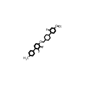 CCOc1ccc(C2CCC(COc3ccc(-c4ccc(C)cc4)c(F)c3F)CC2)c(F)c1